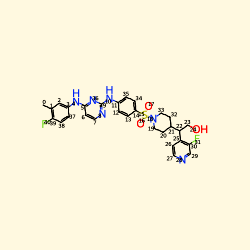 Cc1cc(Nc2ccnc(Nc3ccc(S(=O)(=O)N4CCC(C(CO)c5ccncc5F)CC4)cc3)n2)ccc1F